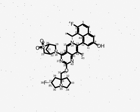 CCc1c(F)ccc2cc(O)cc(-c3ncc4c(N5CC6CC5CS6(=O)=O)nc(OCC56CCCN5C[C@H](F)C6)nc4c3F)c12